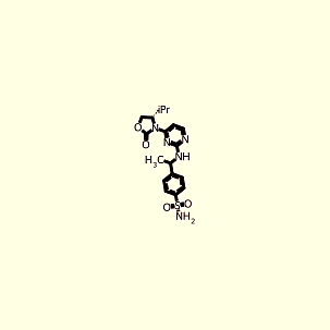 CC(Nc1nccc(N2C(=O)OC[C@@H]2C(C)C)n1)c1ccc(S(N)(=O)=O)cc1